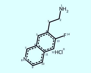 Cl.NCCc1cc2cnccc2cc1F